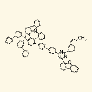 C=C/C=C\c1cccc(-c2nc(-c3ccc(-c4ccc(-c5ccc6c7c5-c5ccccc5-n5c8ccccc8c8ccc(c-7c85)C6(c5cccc(-c6ccccc6)c5)c5cccc(-c6ccccc6)c5)cc4)cc3)nc(-c3cccc4c3oc3ccccc34)n2)c1